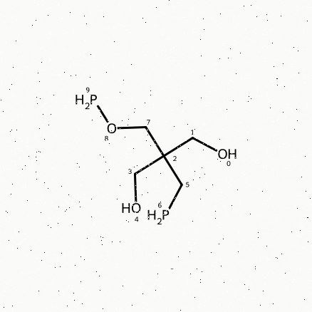 OCC(CO)(CP)COP